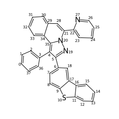 c1ccc(-c2c(-c3ccc4sc5ccccc5c4c3)nn3c(-c4ccccn4)cc4ccccc4c23)cc1